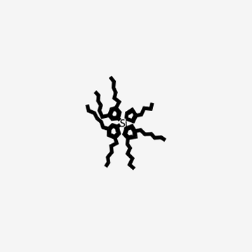 CCCCCCc1cc(CCCCCC)cc([Si]([C]2C=CC(CCCC)=C2)(c2cc(CCCCCC)cc(CCCCCC)c2)c2cc(CCCCCC)cc(CCCCCC)c2)c1